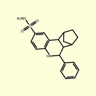 CC(=O)NS(=O)(=O)c1ccc2c(c1)C1C3CCC(C3)C1C(c1ccccc1)N2